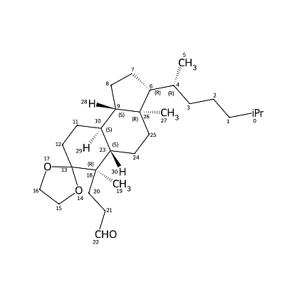 CC(C)CCC[C@@H](C)[C@H]1CC[C@H]2[C@@H]3CCC4(OCCO4)[C@](C)(CCC=O)[C@H]3CC[C@]12C